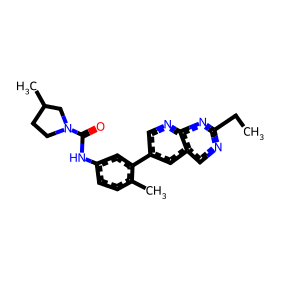 CCc1ncc2cc(-c3cc(NC(=O)N4CCC(C)C4)ccc3C)cnc2n1